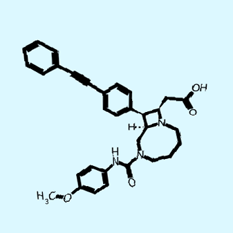 COc1ccc(NC(=O)N2CCCCN3[C@H](CC(=O)O)[C@H](c4ccc(C#Cc5ccccc5)cc4)[C@@H]3C2)cc1